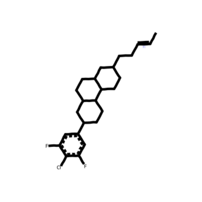 C/C=C/CCC1CCC2C(CCC3CC(c4cc(F)c(Cl)c(F)c4)CCC32)C1